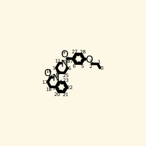 CCCOc1ccc(C(=O)N2CCC(N3C(=O)CCc4ccccc43)CC2)cc1